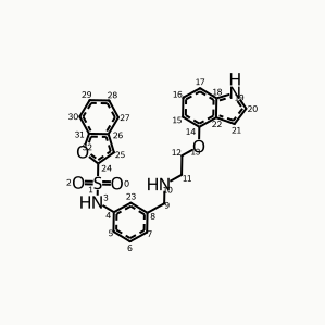 O=S(=O)(Nc1cccc(CNCCOc2cccc3[nH]ccc23)c1)c1cc2ccccc2o1